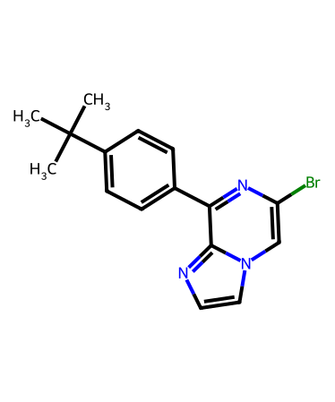 CC(C)(C)c1ccc(-c2nc(Br)cn3ccnc23)cc1